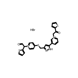 Br.O=CC(c1cccs1)[n+]1ccc(SCc2cc(-c3ccc[n+](CC(=O)c4cccs4)c3)[nH]n2)cc1